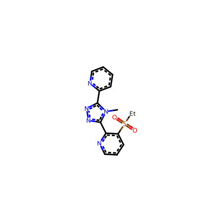 CCS(=O)(=O)c1cccnc1-c1nnc(-c2ccccn2)n1C